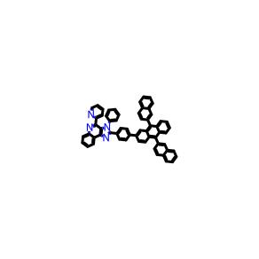 c1ccc(-n2c(-c3ccc(-c4ccc5c(-c6ccc7ccccc7c6)c6ccccc6c(-c6ccc7ccccc7c6)c5c4)cc3)nc3c4ccccc4nc(-c4ccccn4)c32)cc1